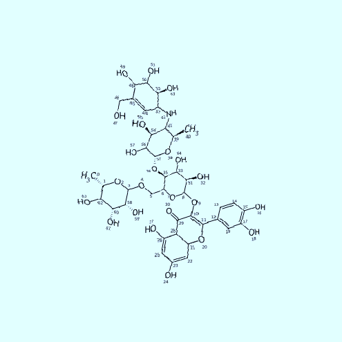 C[C@@H]1OC(OCC2OC(OC3=C(c4ccc(O)c(O)c4)OC4C=C(O)C=C(O)C4C3=O)[C@H](O)C(O)[C@@H]2O[C@H]2O[C@H](C)C(NC3C=C(CO)C(O)C(O)[C@H]3O)[C@H](O)C2O)[C@H](O)[C@H](O)C1O